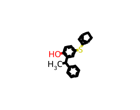 CC(c1ccccc1)c1cc(SC2CC3CCC2C3)ccc1O